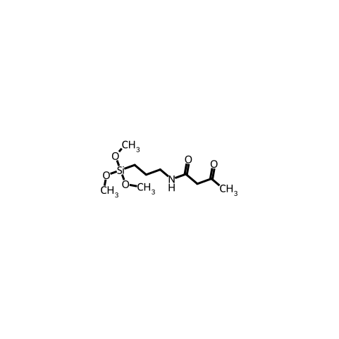 CO[Si](CCCNC(=O)CC(C)=O)(OC)OC